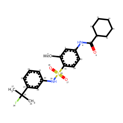 COc1cc(NC(=O)C2CCCCC2)ccc1S(=O)(=O)Nc1cccc(C(C)(C)F)c1